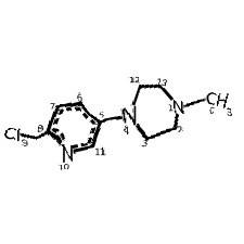 CN1CCN(c2ccc(Cl)nc2)CC1